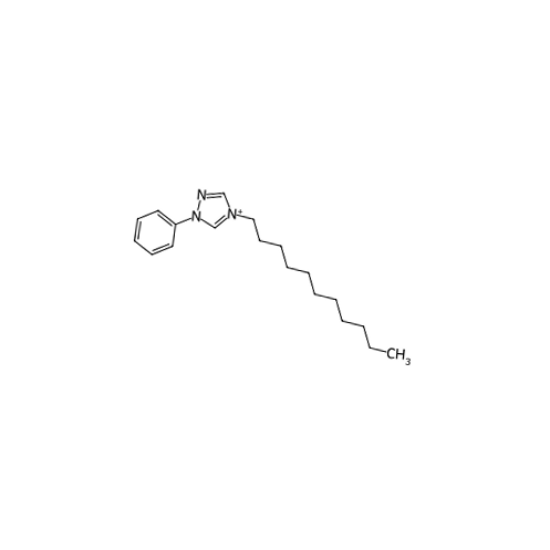 CCCCCCCCCCC[n+]1cnn(-c2ccccc2)c1